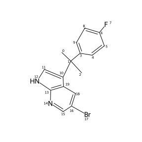 CC(C)(c1ccc(F)cc1)c1c[nH]c2ncc(Br)cc12